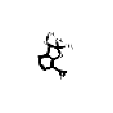 COC1c2cccc(C3CO3)c2OC1(C)C